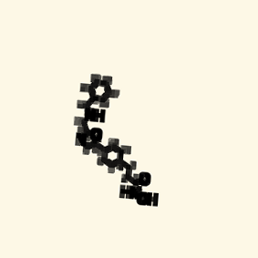 O=C(/C=C/c1ccc(-c2cnc(CNCc3ccccc3)o2)cc1)NO